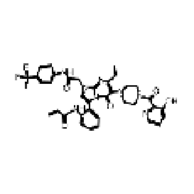 C=CC(=O)Nc1ccccc1-c1cn(CC(=O)Nc2ccc(C(F)(F)F)cc2)c2nc(CC)c(N3CCN(C(=O)c4ncccc4O)CC3)c(=O)n12